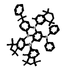 Cc1cc2c(cc1N1c3cc(C(C)(C)c4ccccc4)ccc3B3c4cc5c(cc4N(c4ccc6c(c4C)C(C)(C)CC6(C)C)c4cc(N(c6ccccc6)c6ccccc6)cc1c43)C(C)(C)CC5(C)C)C(C)(C)CCC2(C)C